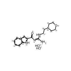 Cl.Cl.NC(=NC(=O)c1cc2ccccc2[nH]1)NCCN1CCOCC1